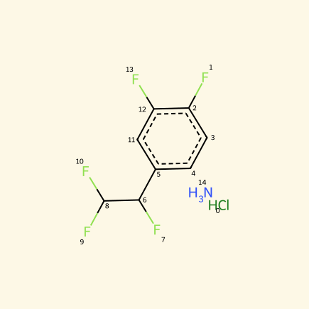 Cl.Fc1ccc(C(F)C(F)F)cc1F.N